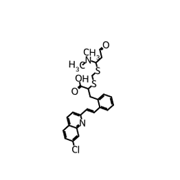 CN(C)C(CC=O)SCSC(Cc1ccccc1C=Cc1ccc2ccc(Cl)cc2n1)C(=O)O